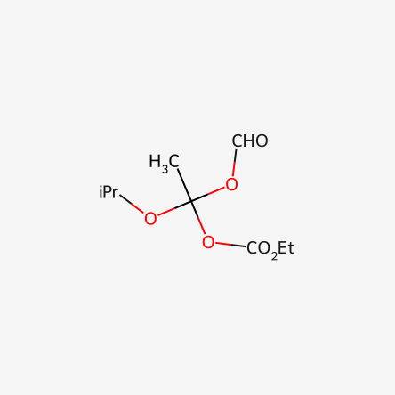 CCOC(=O)OC(C)(OC=O)OC(C)C